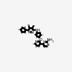 Cc1c(Nc2ccc(Oc3ncccc3-c3ccnc(N)n3)cc2)nnc(-c2ccccc2)c1C